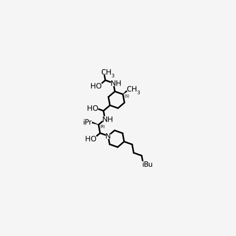 CCC(C)CCCC1CCN(C(O)[C@H](NC(O)C2CC[C@H](C)C(NC(C)O)C2)C(C)C)CC1